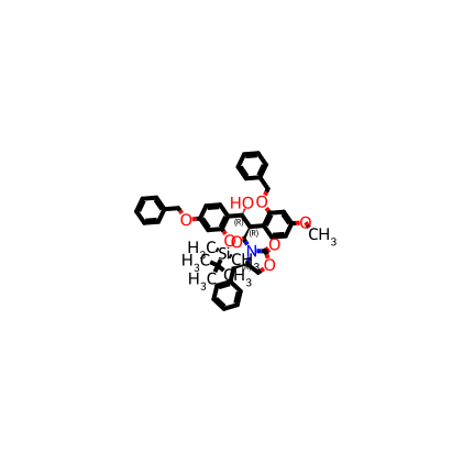 COc1ccc([C@@H](C(=O)N2C(=O)OC[C@H]2Cc2ccccc2)[C@@H](O)c2ccc(OCc3ccccc3)cc2O[Si](C)(C)C(C)(C)C)c(OCc2ccccc2)c1